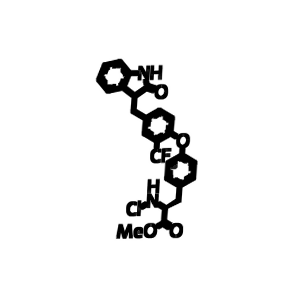 COC(=O)[C@H](Cc1ccc(Oc2ccc(CC3C(=O)Nc4ccccc43)cc2C(F)(F)F)cc1)NCl